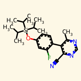 Cc1ncnc(C#N)c1-c1ccc(O[Si](C(C)C)(C(C)C)C(C)C)cc1F